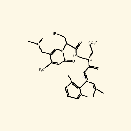 C=C(/C=C(\C=C(C)C)c1c(C)cccc1C)[C@H](CC(=O)O)NC(=O)C(CC(C)C)n1cc(CN(C)C)c(C(F)(F)F)cc1=O